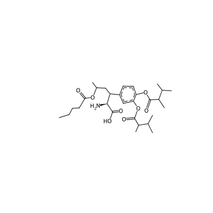 CCCCC(=O)OC(C)CC(c1ccc(OC(=O)C(C)C(C)C)c(OC(=O)C(C)C(C)C)c1)[C@H](N)C(=O)O